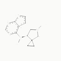 CCCCCN1C[C@H](N(C)c2ncnc3[nH]ccc23)C2(CC2)C1